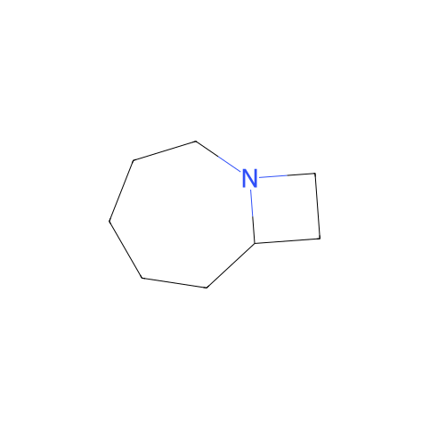 C1CCC2CCN2CC1